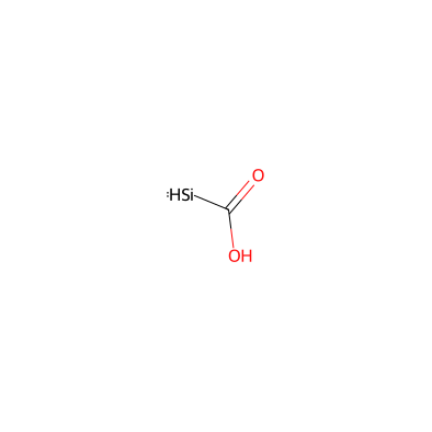 O=C(O)[SiH]